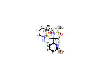 CC(C)(C)[S@@+]([O-])NC(CF)(C[S@]1(O)NCCC[C@]1(C)C#N)c1nc(Br)ccc1F